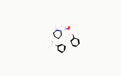 O=C(NC1CCCCC1)OCc1ccccc1.O=[N+]([O-])c1ccccc1